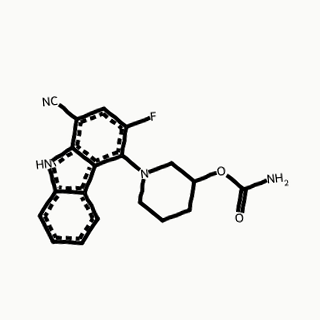 N#Cc1cc(F)c(N2CCCC(OC(N)=O)C2)c2c1[nH]c1ccccc12